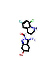 Nc1c2c(nn1C(=O)[C@H]1CCNc3c(Cl)cc(F)cc31)CC(O)CC2